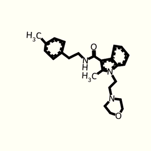 Cc1ccc(CCNC(=O)c2c(C)n(CCN3CCOCC3)c3ccccc23)cc1